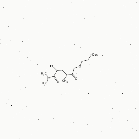 CCCCCCCCCCCCOCC(=O)C(C)CC(CC)C(=O)N(C)C